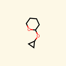 C1CCC(O[C]2CC2)OC1